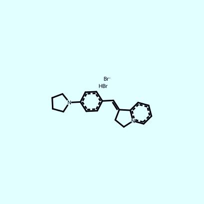 Br.C(=C1CC[n+]2ccccc21)c1ccc(N2CCCC2)cc1.[Br-]